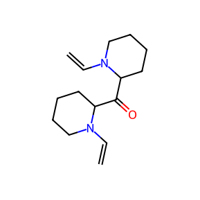 C=CN1CCCCC1C(=O)C1CCCCN1C=C